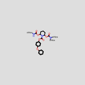 CCCCCCNC(=O)OC1CCCC(OC(=O)N(CCCCCC)CCCCCC)N1C(=O)Oc1ccc(Oc2ccccc2)cc1